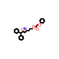 O=C(COc1ccccc1)OCCCc1cc(C(c2ccccc2)c2ccccc2)on1